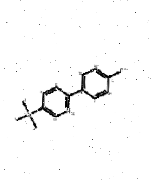 C[Si](C)(C)c1ccc(-c2ccc(F)cc2)nc1